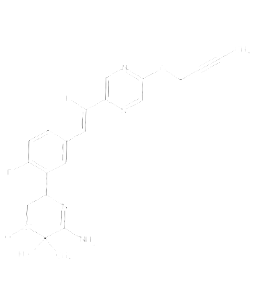 CC#CCOc1cnc(/C(F)=C/c2ccc(F)c(C3C[S+]([O-])C(C)(C)C(N)=N3)c2)cn1